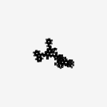 CCC[C@H](NC(=O)[C@@H](CCCNC(=N)NS(=O)(=O)c1c(C)c(C)c2c(c1C)C[C@@H](C)C(C)(C)O2)NC(=O)OCC1c2ccccc2-c2ccccc21)C(=O)OCc1ccccc1